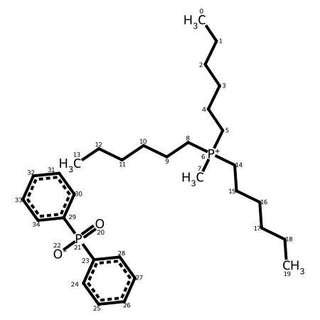 CCCCCC[P+](C)(CCCCCC)CCCCCC.O=P([O-])(c1ccccc1)c1ccccc1